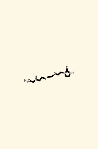 CCNCCOCCOCCN1CCNC1=O